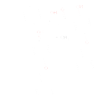 Cc1c(C(O)(CC(=O)c2cc(OCc3ccccc3)ccc2O)C2CCCCC2)oc2ccc(OCc3ccccc3)cc12